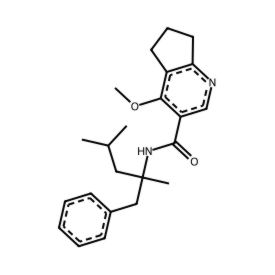 COc1c(C(=O)NC(C)(Cc2ccccc2)CC(C)C)cnc2c1CCC2